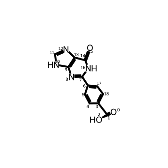 O=C(O)c1ccc(-c2nc3[nH]cnc3c(=O)[nH]2)cc1